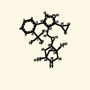 FC(F)(F)c1ccccc1-c1noc(C2CC2)c1CO[C@@H]1C[C@@H]2C[C@H]1CN2